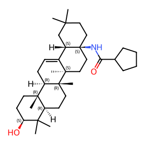 CC1(C)CC[C@]2(NC(=O)C3CCCC3)CC[C@]3(C)C(=CC[C@@H]4[C@@]5(C)CC[C@H](O)C(C)(C)[C@@H]5CC[C@]43C)[C@@H]2C1